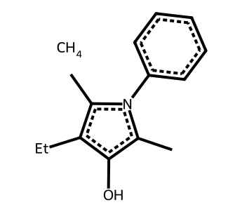 C.CCc1c(O)c(C)n(-c2ccccc2)c1C